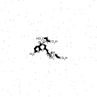 Cc1ccc2c(n1)OC(CCN(C)C)CN(C)C2=O.O=C(O)/C=C/C(=O)O.O=C(O)/C=C/C(=O)O